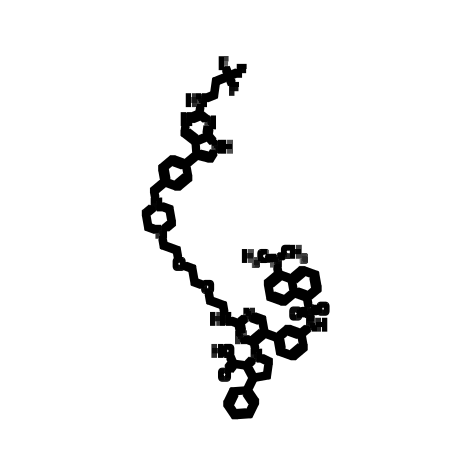 CN(C)c1cccc2c(S(=O)(=O)Nc3cccc(-c4cnc(NCCOCCOCCN5CCN(Cc6ccc(-c7c[nH]c8nc(NCCC(F)(F)F)ncc78)cc6)CC5)nc4N4CCC(c5ccccc5)C4C(=O)O)c3)cccc12